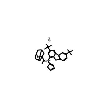 C/[C](=[Zr+2](\[C]1=CC=CC1)[c]1cc(C(C)(C)C)cc2c1Cc1ccc(C(C)(C)C)cc1-2)C12CC3CC(CC(C3)C1)C2.[Cl-].[Cl-]